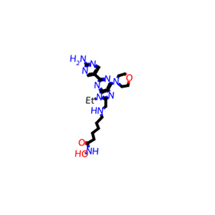 CCn1c(CNCCCCCC(=O)NO)nc2c(N3CCOCC3)nc(-c3cnc(N)nc3)nc21